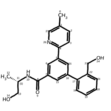 Cc1ccc(-c2cc(C(=O)N[C@@H](C)CO)cc(-c3ccccc3CO)c2)nc1